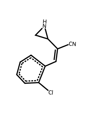 N#C/C(=C/c1ccccc1Cl)C1CN1